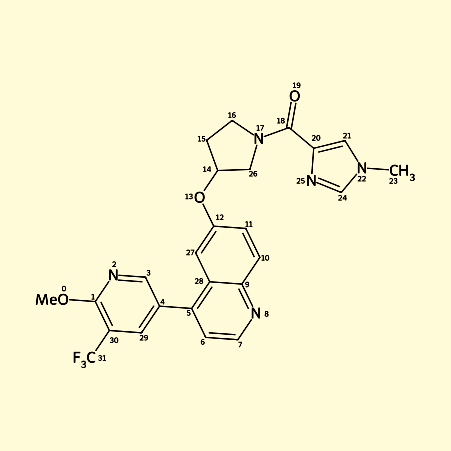 COc1ncc(-c2ccnc3ccc(OC4CCN(C(=O)c5cn(C)cn5)C4)cc23)cc1C(F)(F)F